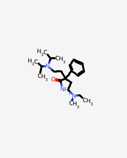 CCN(C)CCC(CCN(C(C)C)C(C)C)(C(N)=O)c1ccccc1